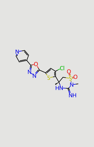 CN1C(=N)N[C@](C)(c2sc(-c3nnc(-c4ccncc4)o3)cc2Cl)CS1(=O)=O